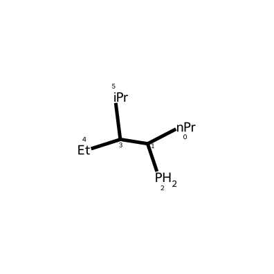 CCCC(P)C(CC)C(C)C